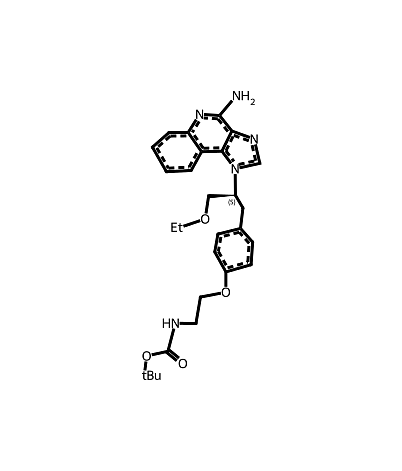 CCOC[C@H](Cc1ccc(OCCNC(=O)OC(C)(C)C)cc1)n1cnc2c(N)nc3ccccc3c21